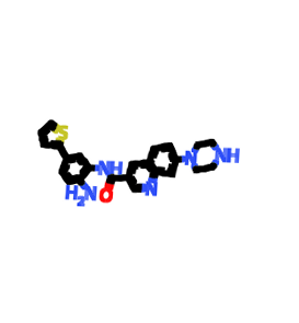 Nc1ccc(-c2cccs2)cc1NC(=O)c1cnc2cc(N3CCNCC3)ccc2c1